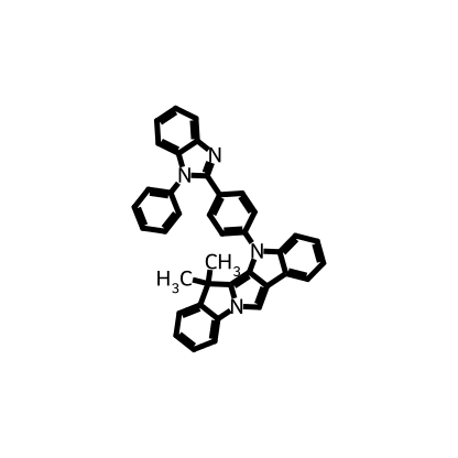 CC1(C)c2ccccc2-n2cc3c4ccccc4n(-c4ccc(-c5nc6ccccc6n5-c5ccccc5)cc4)c3c21